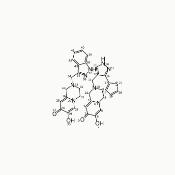 O=c1cc2n(cc1O)CCN(Cc1c[nH]nc1-c1cccs1)C2.O=c1cc2n(cc1O)CCN(Cc1n[nH]c3ccccc13)C2